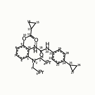 CC(C)CN(CC(C)C)c1cccc(OC(=O)C2CC2)c1NC(=O)Nc1ccc(C2CC2)cc1